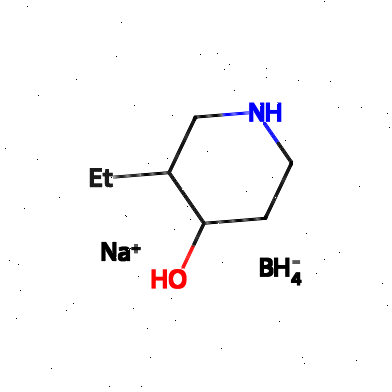 CCC1CNCCC1O.[BH4-].[Na+]